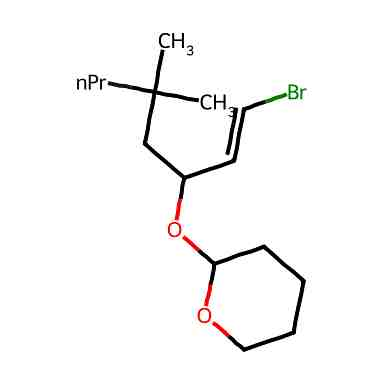 CCCC(C)(C)CC(/C=C/Br)OC1CCCCO1